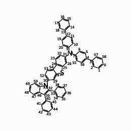 c1ccc(-c2ccc(N(c3ccc(-c4ccccc4)cc3)c3ccc4c(c3)sc3cc(-n5c(-c6ccccc6)c(-c6ccccc6)c6ccccc65)ccc34)cc2)cc1